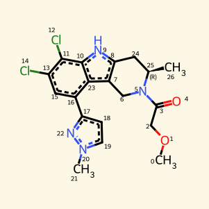 COCC(=O)N1Cc2c([nH]c3c(Cl)c(Cl)cc(-c4ccn(C)n4)c23)C[C@H]1C